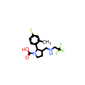 Cc1cc(F)ccc1C1C(CNCC(F)(F)F)CCN1C(=O)O